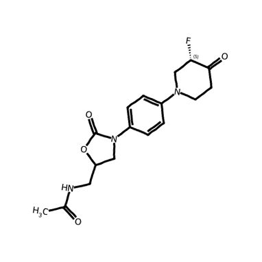 CC(=O)NCC1CN(c2ccc(N3CCC(=O)[C@@H](F)C3)cc2)C(=O)O1